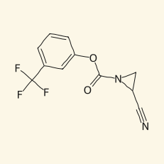 N#CC1CN1C(=O)Oc1cccc(C(F)(F)F)c1